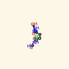 COc1nc(-c2cccc(-c3cccc(-c4cc5c(=O)n(C)c(CNC67CC(O)(C6)C7)nn5c4)c3Cl)c2Cl)ccc1CNCC1CCC(=O)N1